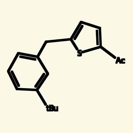 CC(=O)c1ccc(Cc2cccc(C(C)(C)C)c2)s1